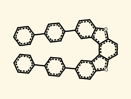 c1ccc(-c2ccc(-c3ccc4oc5ccc6oc7ccc(-c8ccc(-c9ccccc9)cc8)cc7c6c5c4c3)cc2)cc1